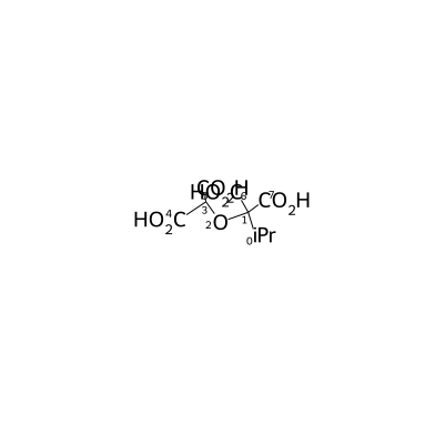 CC(C)C(OC(C(=O)O)C(=O)O)(C(=O)O)C(=O)O